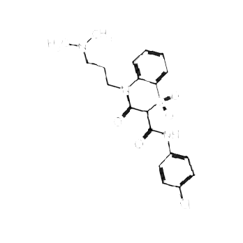 CN(C)CCCN1C(=O)C(C(=O)Nc2ccc(Cl)cc2)S(=O)(=O)c2ccccc21